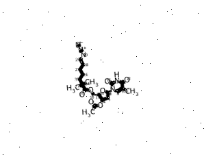 CC(=O)OC1C[C@H](n2cc(C)c(=O)[nH]c2=O)O[C@@H]1COC(=O)C(C)(C)CCCCCN=[N+]=[N-]